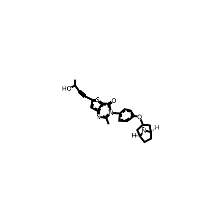 Cc1nc2cc(C#CC(C)O)sc2c(=O)n1-c1ccc(OC2C[C@H]3CC[C@@H](C2)N3C)cc1